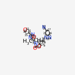 CC(C)(CN1C[C@@]2(CCC[C@H](Cn3cnc4ccc(C#N)cc43)C2)OC1=O)c1nc(C2CCOCC2)no1